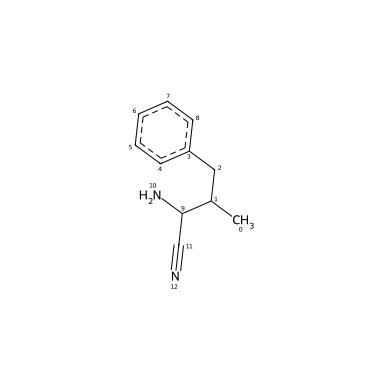 CC(Cc1ccccc1)C(N)C#N